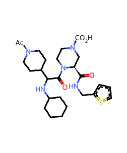 CC(=O)N1CCC(C(NC2CCCCC2)C(=O)N2CCN(C(=O)O)C[C@H]2C(=O)NCc2cccs2)CC1